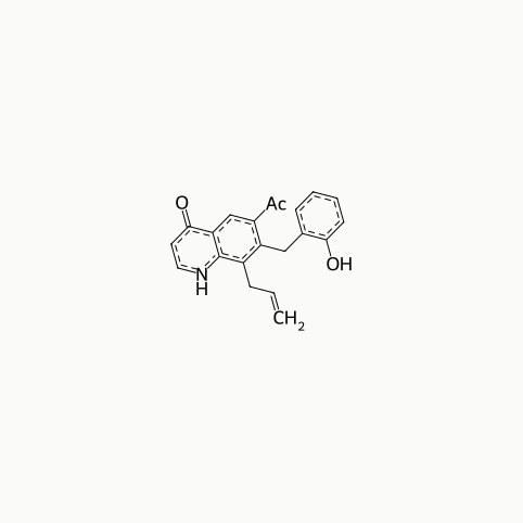 C=CCc1c(Cc2ccccc2O)c(C(C)=O)cc2c(=O)cc[nH]c12